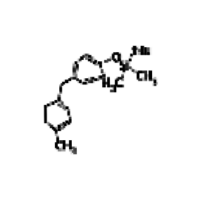 Cc1ccc(Cc2ccc(O[Si](C)(C)C(C)(C)C)cc2)cc1